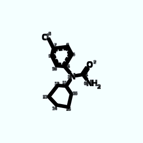 NC(=O)N(c1ccc(Cl)cc1)C1CCCCC1